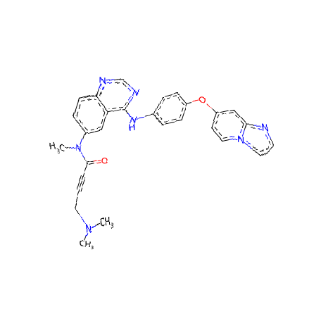 CN(C)CC#CC(=O)N(C)c1ccc2ncnc(Nc3ccc(Oc4ccn5ccnc5c4)cc3)c2c1